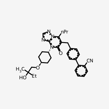 CCCc1c(Cc2ccc(-c3ccccc3C#N)cc2)c(=O)n([C@H]2CC[C@H](OCC(C)(O)CC)CC2)c2ncnn12